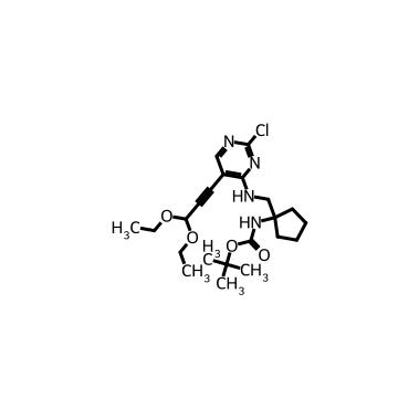 CCOC(C#Cc1cnc(Cl)nc1NCC1(NC(=O)OC(C)(C)C)CCCC1)OCC